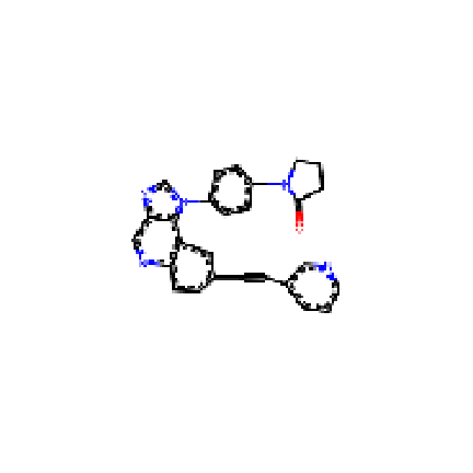 O=C1CCCN1c1ccc(-n2cnc3cnc4ccc(C#Cc5cccnc5)cc4c32)cc1